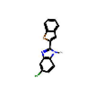 CCn1c(-c2cc3ccccc3s2)nc2cc(Br)ccc21